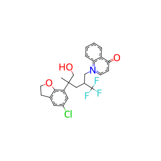 CC(CO)(CC(Cn1ccc(=O)c2ccccc21)C(F)(F)F)c1cc(Cl)cc2c1OCC2